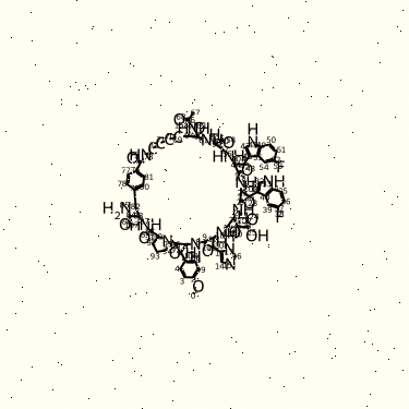 COc1ccc(C[C@@H]2NC(=O)[C@H](Cc3cnc[nH]3)NC(=O)[C@H](CC(=O)O)NC(=O)[C@H](Cc3c[nH]c4ccc(F)cc34)NC(=O)[C@H](Cc3c[nH]c4ccc(F)cc34)NC(=O)[C@@H](C)NC(=O)[C@H](NC(C)=O)CCCCNC(=O)c3ccc(cc3)C[C@@H](C(N)=O)NC(=O)[C@]3(C)CCCN3C2=O)cc1